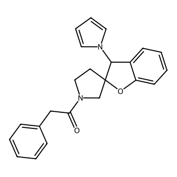 O=C(Cc1ccccc1)N1CCC2(C1)Oc1ccccc1C2n1cccc1